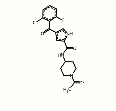 CC(=O)N1CCC(NC(=O)c2cc(C(=O)c3c(F)cccc3Cl)c[nH]2)CC1